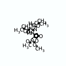 CCOC(=O)N(C[C@@H]1CC(=O)C[C@H]1NC(=NC(=O)OC(C)(C)C)NC(=O)OC(C)(C)C)C(C)=O